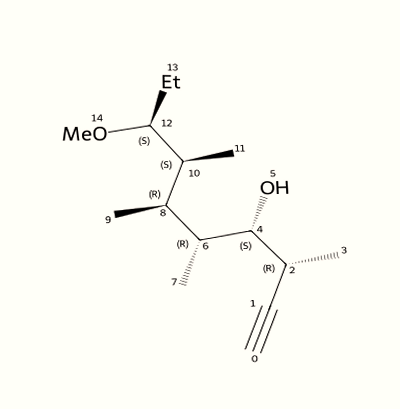 C#C[C@@H](C)[C@@H](O)[C@H](C)[C@@H](C)[C@H](C)[C@H](CC)OC